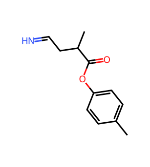 Cc1ccc(OC(=O)C(C)CC=N)cc1